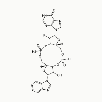 O=c1[nH]cnc2c1ncn2[C@@H]1O[C@@H]2COP(=O)(S)OC3C(O)[C@H](n4cnc5ccccc54)O[C@@H]3COP(=O)(S)OC2C1F